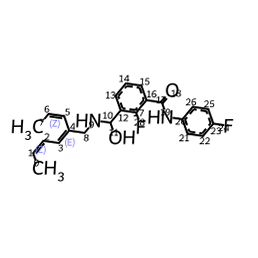 C\C=C/C=C(\C=C/C)CNC(O)c1cccc(C(=O)Nc2ccc(F)cc2)c1F